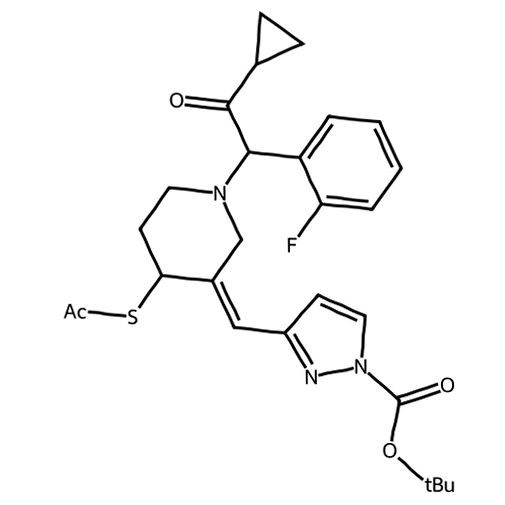 CC(=O)SC1CCN(C(C(=O)C2CC2)c2ccccc2F)C/C1=C\c1ccn(C(=O)OC(C)(C)C)n1